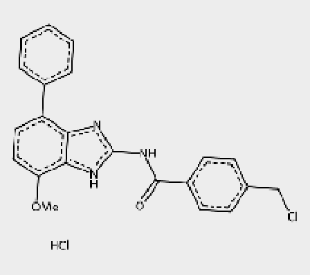 COc1ccc(-c2ccccc2)c2nc(NC(=O)c3ccc(CCl)cc3)[nH]c12.Cl